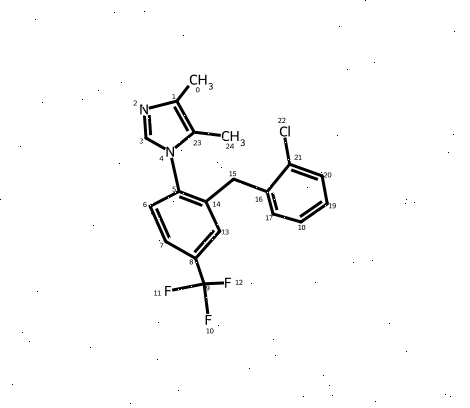 Cc1ncn(-c2ccc(C(F)(F)F)cc2Cc2ccccc2Cl)c1C